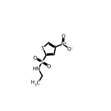 CCNS(=O)(=O)c1cc([N+](=O)[O-])[c]s1